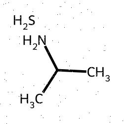 CC(C)N.S